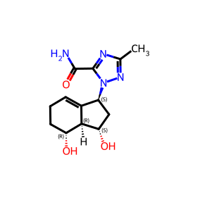 Cc1nc(C(N)=O)n([C@H]2C[C@H](O)[C@@H]3C2=CCC[C@H]3O)n1